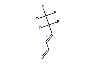 O=C/C=C/C(F)(F)C(F)(F)F